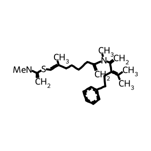 C=C(NC)S/C=C(\C)CCCCC(=C)N(C)C(=C)C(CCc1ccccc1)=C(C)C